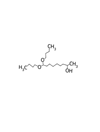 CCCCOC(CCCCCCC(C)O)OCCCC